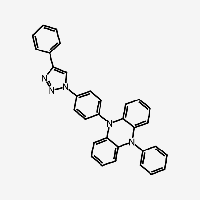 c1ccc(-c2cn(-c3ccc(N4c5ccccc5N(c5ccccc5)c5ccccc54)cc3)nn2)cc1